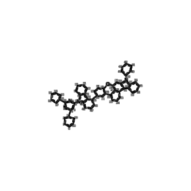 c1ccc(-c2cc(-n3c4ccccc4c4c(-c5ccc6c(c5)-c5cccc7c5c(cc5c7c7ccccc7n5-c5ccccc5)O6)cccc43)nc(-c3ccccc3)n2)cc1